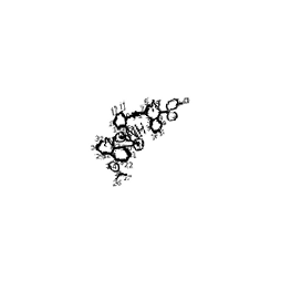 COC(=O)c1ncc(C#Cc2ccccc2NS(=O)(=O)c2ccc(OC(C)C)c3cccnc23)c2ccccc12